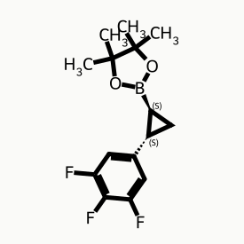 CC1(C)OB([C@H]2C[C@@H]2c2cc(F)c(F)c(F)c2)OC1(C)C